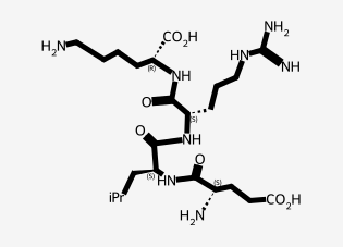 CC(C)C[C@H](NC(=O)[C@@H](N)CCC(=O)O)C(=O)N[C@@H](CCCNC(=N)N)C(=O)N[C@H](CCCCN)C(=O)O